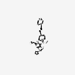 Clc1nc(NN2CCC(CCN3CCOCC3)CC2)c2ncn(C3CCCC3)c2n1